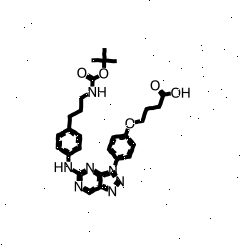 CC(C)(C)OC(=O)NCCCc1ccc(Nc2ncc3nnn(-c4ccc(OCCCC(=O)O)cc4)c3n2)cc1